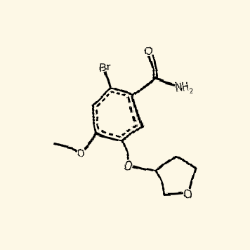 COc1cc(Br)c(C(N)=O)cc1OC1CCOC1